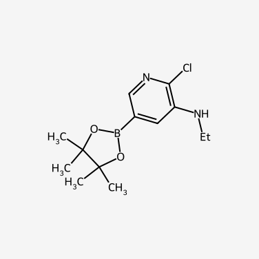 CCNc1cc(B2OC(C)(C)C(C)(C)O2)cnc1Cl